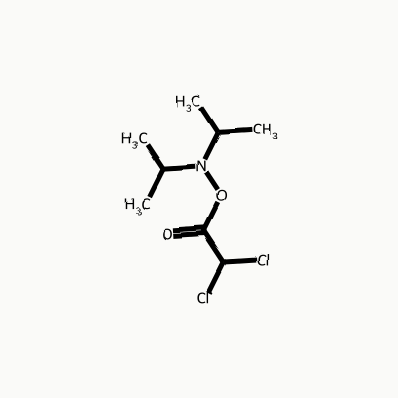 CC(C)N(OC(=O)C(Cl)Cl)C(C)C